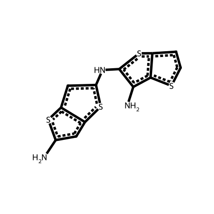 Nc1cc2sc(Nc3sc4ccsc4c3N)cc2s1